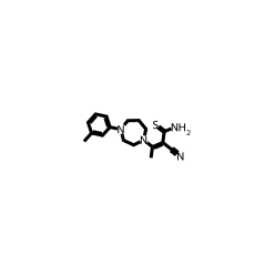 CC(=C(C#N)C(N)=S)N1CCCN(c2cccc(C)c2)CC1